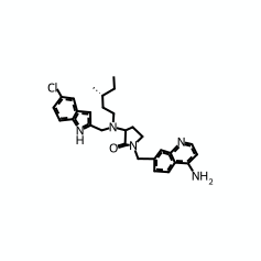 CC[C@@H](C)CCN(Cc1cc2cc(Cl)ccc2[nH]1)C1CCN(Cc2ccc3c(N)ccnc3c2)C1=O